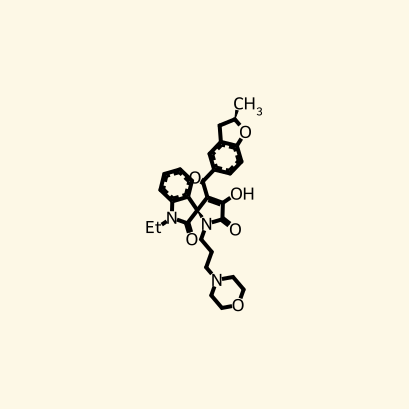 CCN1C(=O)[C@@]2(C(C(=O)c3ccc4c(c3)C[C@@H](C)O4)=C(O)C(=O)N2CCCN2CCOCC2)c2ccccc21